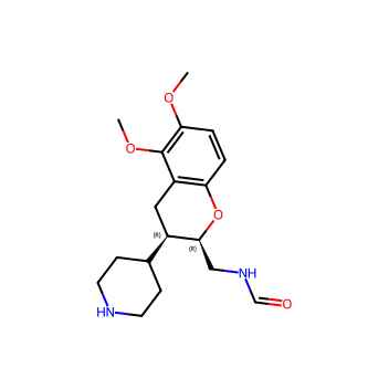 COc1ccc2c(c1OC)C[C@H](C1CCNCC1)[C@H](CNC=O)O2